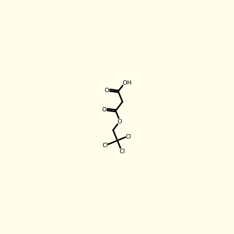 O=C(O)CC(=O)OCC(Cl)(Cl)Cl